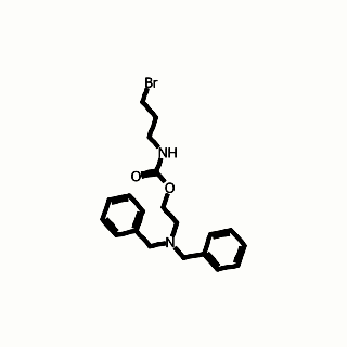 O=C(NCCCBr)OCCN(Cc1ccccc1)Cc1ccccc1